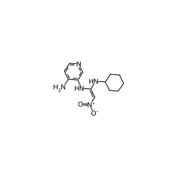 Nc1ccncc1NC(=C[N+](=O)[O-])NC1CCCCC1